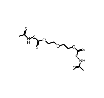 CC(=S)NSC(=S)OCCOCCOC(=S)SNC(C)=S